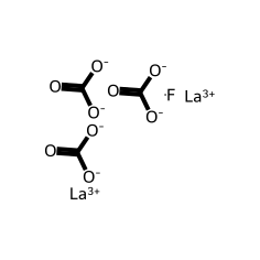 O=C([O-])[O-].O=C([O-])[O-].O=C([O-])[O-].[F].[La+3].[La+3]